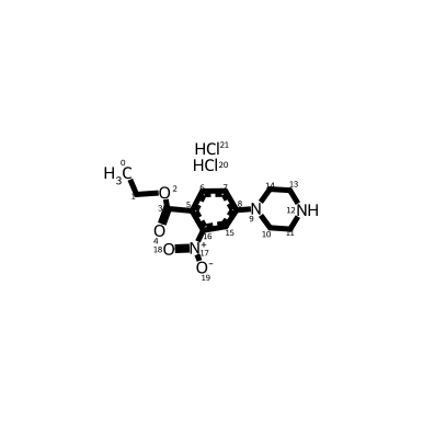 CCOC(=O)c1ccc(N2CCNCC2)cc1[N+](=O)[O-].Cl.Cl